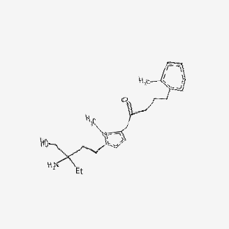 CCC(N)(CO)CCc1ccc(C(=O)CCCc2ccccc2C)n1C